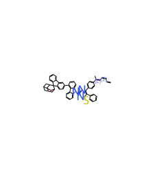 C=C/C=C\C=C(/C)c1ccc(-c2nc(-n3c4ccccc4c4c(-c5ccc6c(c5)-c5ccccc5C65C6CC7CC(C6)CC5C7)cccc43)nc3sc4ccccc4c23)cc1